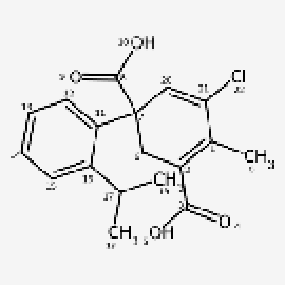 CC1=C(C(=O)O)CC(C(=O)O)(c2ccccc2C(C)C)C=C1Cl